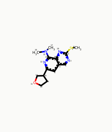 CSc1ncc2cc(C3CCOC3)nc(N(C)C)c2n1